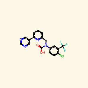 O=C(O)N(Cc1cccc(-c2cncnc2)n1)c1ccc(Cl)c(C(F)(F)F)c1